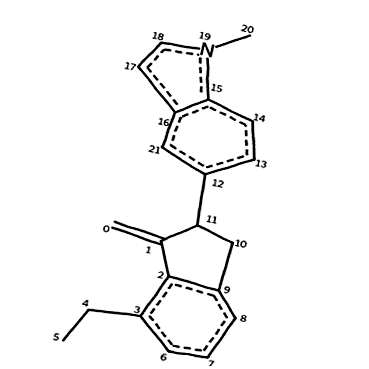 C=C1c2c(CC)cccc2CC1c1ccc2c(ccn2C)c1